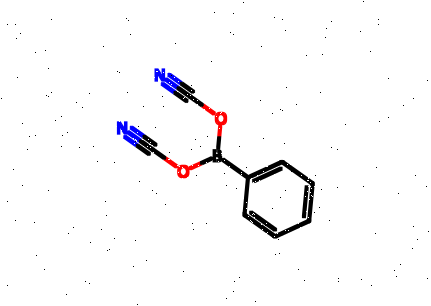 N#COB(OC#N)c1ccccc1